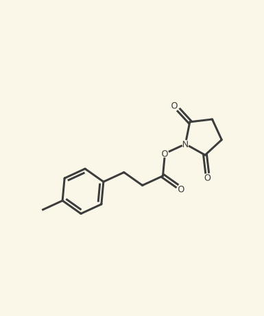 Cc1ccc(CCC(=O)ON2C(=O)CCC2=O)cc1